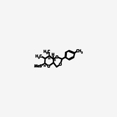 CS[C@@H]1OC2COC(c3ccc(C)cc3)O[C@H]2[C@H](C)C1C